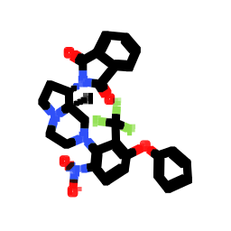 O=C1c2ccccc2C(=O)N1[C@H]1CCN2CCN(c3c([N+](=O)[O-])ccc(Oc4ccccc4)c3C(F)(F)F)C[C@H]12